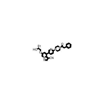 CC[C@@H](O)COc1cc(-c2ccc(N3CCN(C(=O)Cc4ccccc4)CC3)nc2)c2c(C#N)cnn2c1